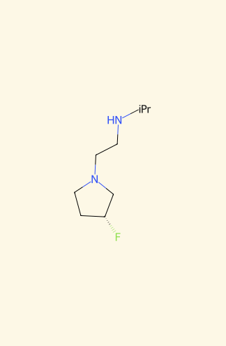 CC(C)NCCN1CC[C@@H](F)C1